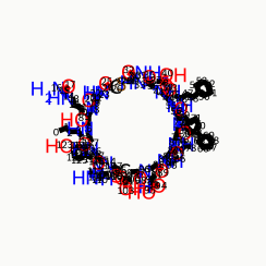 CCCCC[C@@H]1NC(O)[C@H](CCCCNC(N)=O)NC(=O)[C@H](C)NC(=O)CSC[C@@H](C(N)=O)NC(=O)[C@H](CC(=O)O)NC(=O)[C@H](CCCCc2ccccc2)NC(=O)[C@H](Cc2ccc(-c3ccccc3)cc2)NC(=O)[C@H](CC(C)C)NC(=O)[C@H](C(C)C)NC(=O)[C@H](CCC(=O)O)NC(=O)[C@H](CC(=O)O)CC(=O)[C@H](Cc2c[nH]cn2)NC(=O)[C@H](Cc2ccc(O)cc2)NC1=O